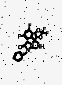 O=C1CN2C(CNCC2(c2cc(F)cc(F)c2)C2COC(F)(F)O2)N1Cc1ccccc1